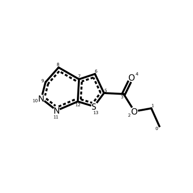 CCOC(=O)c1cc2ccnnc2s1